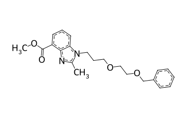 COC(=O)c1cccc2c1nc(C)n2CCCOCCOCc1ccccc1